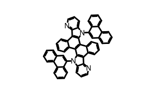 c1ccc2c(c1)cc(-n1c3cccnc3c3c4ccccc4c4c(c5ccccc5c5c6ncccc6n(-c6cc7ccccc7c7ccccc67)c54)c31)c1ccccc12